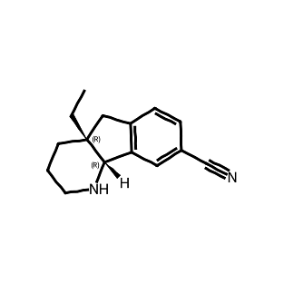 CC[C@]12CCCN[C@H]1c1cc(C#N)ccc1C2